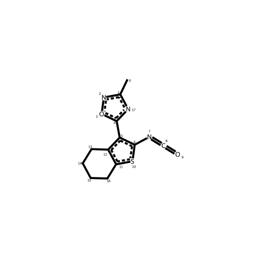 Cc1noc(-c2c(N=C=O)sc3c2CCCC3)n1